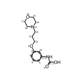 O=C(O)Nc1cccc(OCCCN2CCOCC2)c1